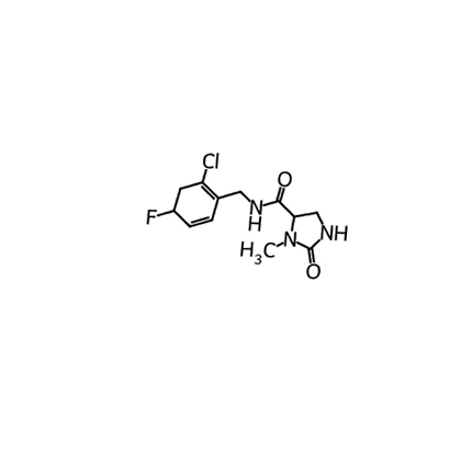 CN1C(=O)NCC1C(=O)NCC1=C(Cl)CC(F)C=C1